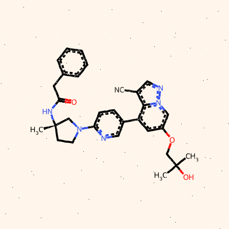 CC(C)(O)COc1cc(-c2ccc(N3CC[C@](C)(NC(=O)Cc4ccccc4)C3)nc2)c2c(C#N)cnn2c1